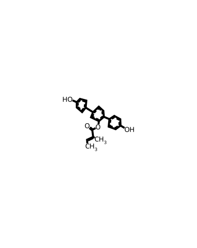 C/C=C(\C)C(=O)Oc1cc(-c2ccc(O)cc2)ccc1-c1ccc(O)cc1